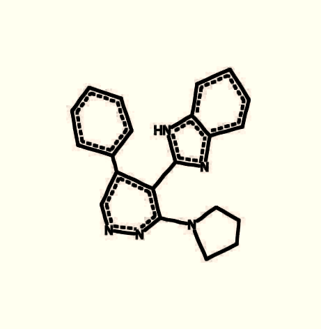 c1ccc(-c2cnnc(N3CCCC3)c2-c2nc3ccccc3[nH]2)cc1